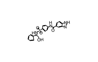 O=C(Nc1ccc(S(=O)(=O)N[C@@H](CO)c2ccccc2)cc1)c1ccc2[nH]cnc2c1